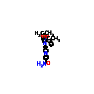 CC(C)c1ccccc1[C@@H]1CN(S(=O)(=O)C(C)C)CCN1C1CC2(CCN(c3ccc(C(N)=O)cc3)CC2)C1